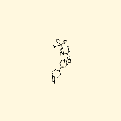 Cl.FC(F)(F)c1cnc(Oc2ccc(C3CCNCC3)cc2)nc1